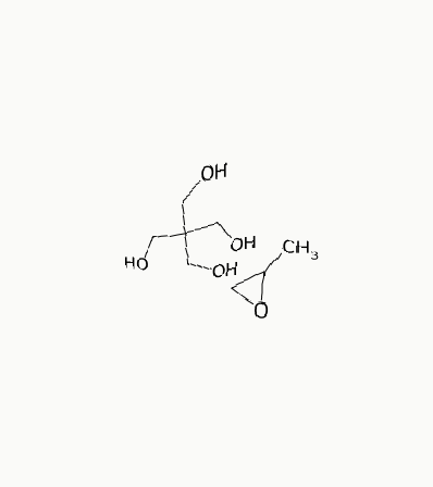 CC1CO1.OCC(CO)(CO)CO